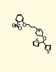 O=[N+]([O-])c1ccccc1OCCCN1CCC(OC(c2ccsc2)c2cccs2)CC1